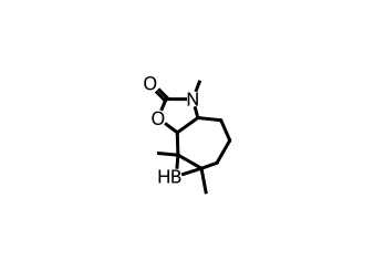 CN1C(=O)OC2C1CCCC1(C)BC21C